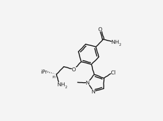 CC(C)[C@@H](N)COc1ccc(C(N)=O)cc1-c1c(Cl)cnn1C